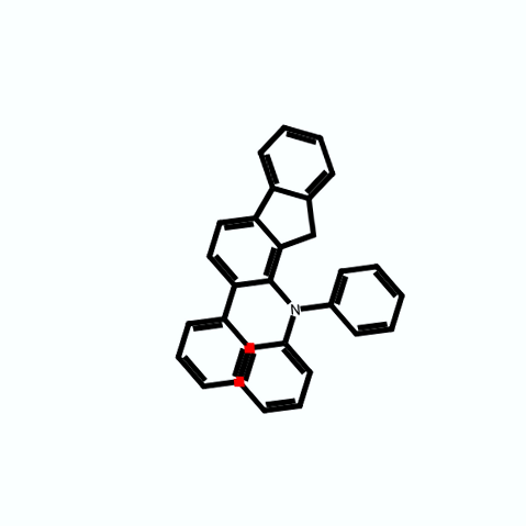 c1ccc(-c2ccc3c(c2N(c2ccccc2)c2ccccc2)Cc2ccccc2-3)cc1